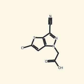 N#Cc1nn(CC(=O)O)c2cc(Cl)sc12